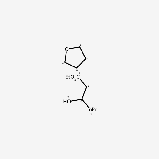 C1CCOC1.CCCC(O)CC(=O)OCC